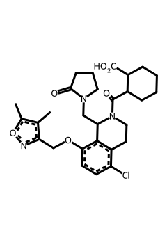 Cc1onc(COc2ccc(Cl)c3c2C(CN2CCCC2=O)N(C(=O)C2CCCCC2C(=O)O)CC3)c1C